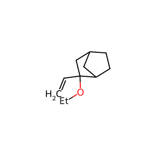 C=CC1(OCC)CC2CCC1C2